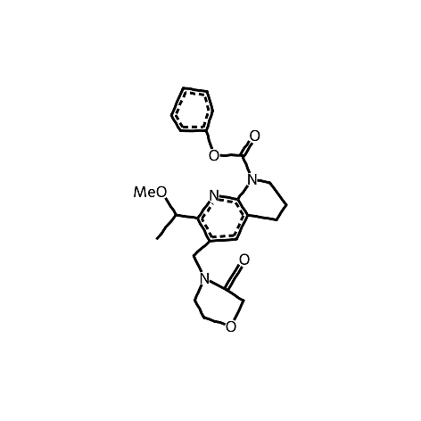 COC(C)c1nc2c(cc1CN1CCOCC1=O)CCCN2C(=O)Oc1ccccc1